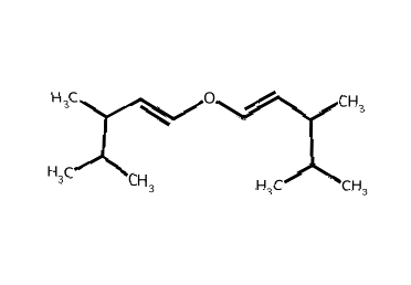 CC(C)C(C)/C=C/O/C=C/C(C)C(C)C